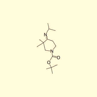 CC(C)/N=C1\CCN(C(=O)OC(C)(C)C)CC1(C)C